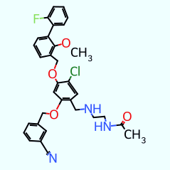 COc1c(COc2cc(OCc3cccc(C#N)c3)c(CNCCNC(C)=O)cc2Cl)cccc1-c1ccccc1F